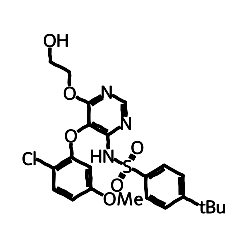 COc1ccc(Cl)c(Oc2c(NS(=O)(=O)c3ccc(C(C)(C)C)cc3)ncnc2OCCO)c1